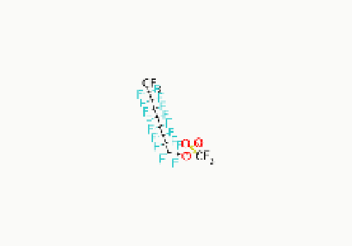 O=S(=O)(OC(F)(F)C(F)C(F)(F)C(F)(F)C(F)(F)C(F)(F)C(F)(F)C(F)(F)C(F)(F)C(F)(F)F)C(F)(F)F